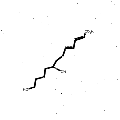 O=C(O)C=CC=CCCC(O)CCCCO